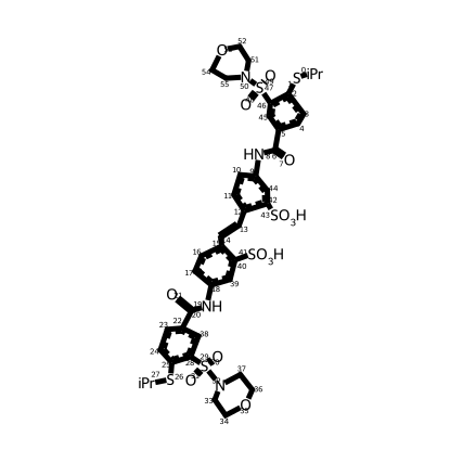 CC(C)Sc1ccc(C(=O)Nc2ccc(/C=C/c3ccc(NC(=O)c4ccc(SC(C)C)c(S(=O)(=O)N5CCOCC5)c4)cc3S(=O)(=O)O)c(S(=O)(=O)O)c2)cc1S(=O)(=O)N1CCOCC1